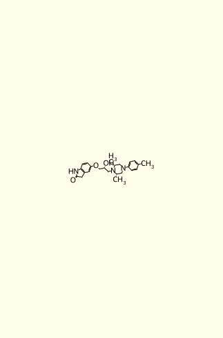 Cc1ccc(N2C[C@@H](C)N(C[C@@H](O)COc3ccc4c(c3)CC(=O)N4)[C@@H](C)C2)cc1